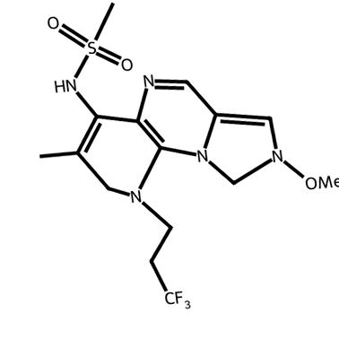 CON1C=C2C=NC3=C(N(CCC(F)(F)F)CC(C)=C3NS(C)(=O)=O)N2C1